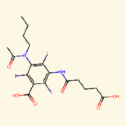 CCCCN(C(C)=O)c1c(I)c(NC(=O)CCCC(=O)O)c(I)c(C(=O)O)c1I